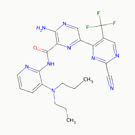 CCCN(CCC)c1cccnc1NC(=O)c1nc(-c2nc(C#N)ncc2C(F)(F)F)cnc1N